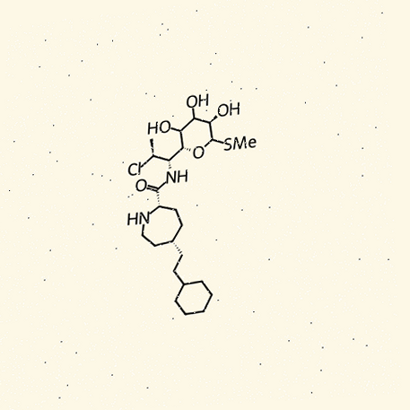 CSC1O[C@H]([C@H](NC(=O)[C@@H]2CC[C@H](CCC3CCCCC3)CCN2)[C@H](C)Cl)C(O)C(O)[C@H]1O